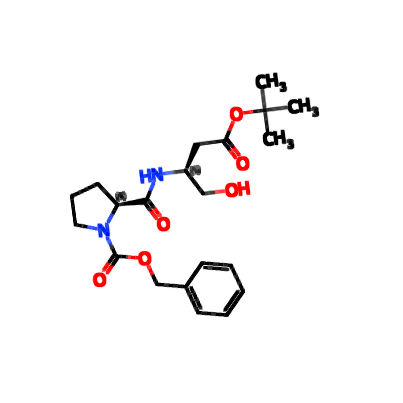 CC(C)(C)OC(=O)C[C@@H](CO)NC(=O)[C@@H]1CCCN1C(=O)OCc1ccccc1